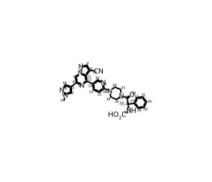 Cn1cc(-c2cn3ncc(C#N)c3c(-c3ccc(N4CCN(C(=O)[C@](C)(NC(=O)O)c5ccccc5)CC4)nc3)n2)cn1